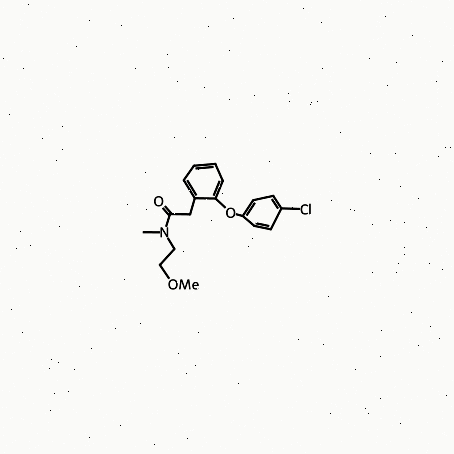 COCCN(C)C(=O)Cc1ccccc1Oc1ccc(Cl)cc1